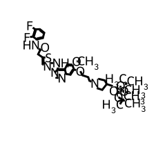 COc1cc2c(Nc3ncc(CC(=O)Nc4cccc(F)c4F)s3)ncnc2cc1OCCCN1CCC(COP(=O)(OC(C)(C)C)OC(C)(C)C)CC1